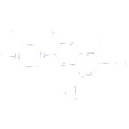 CCC1CN(c2cc3c(cc2F)c(=O)c(C(=O)O)cn3C2CC2)CCN1CC